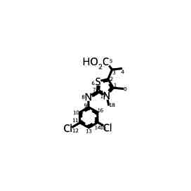 Cc1c(C(C)C(=O)O)sc(=Nc2cc(Cl)cc(Cl)c2)n1C